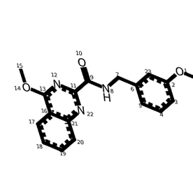 COc1cccc(CNC(=O)c2nc(OC)c3ccccc3n2)c1